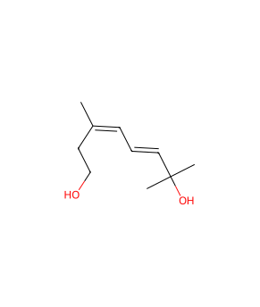 CC(=CC=CC(C)(C)O)CCO